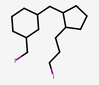 ICCCC1CCCC1CC1CCCC(CI)C1